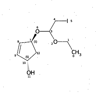 CCOC(CI)O[C@@H]1C=C[C@@H](O)C1